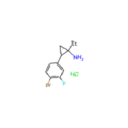 CCC1(N)CC1c1ccc(Br)c(F)c1.Cl